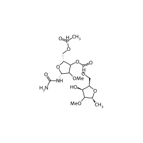 COC1C(O[PH](=O)OC[C@H]2O[C@@H](C)C(OC)[C@H]2O)[C@@H](CO[PH](C)=O)O[C@H]1NC(N)=O